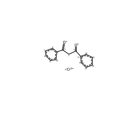 O=C(CC(=O)c1ccccc1)c1ccccc1.[Cr+3]